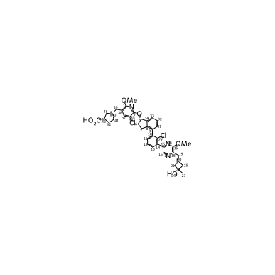 COc1nc(O[C@H]2CCc3c(-c4cccc(-c5cnc(CN6CC(C)(O)C6)c(OC)n5)c4Cl)cccc32)c(Cl)cc1CN1CC[C@H](C(=O)O)C1